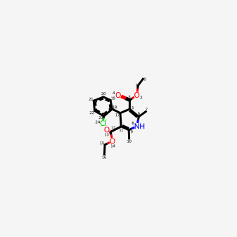 CCOC(=O)C1=C(C)NC(C)=C(C(=O)OCC)C1c1ccccc1Cl